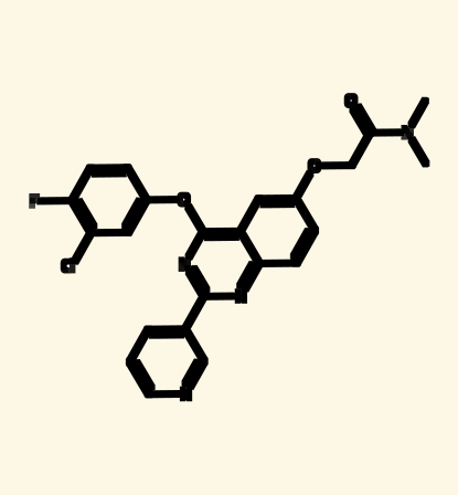 CN(C)C(=O)COc1ccc2nc(-c3cccnc3)nc(Oc3ccc(F)c(Cl)c3)c2c1